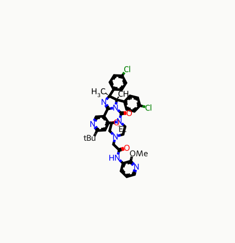 CCOc1cc(C(C)(C)C)ncc1C1=N[C@@](C)(c2ccc(Cl)cc2)[C@@](C)(c2ccc(Cl)cc2)N1C(=O)N1CCN(CC(=O)Nc2cccnc2OC)CC1